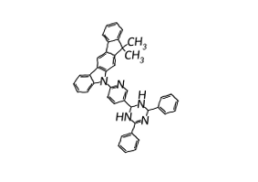 CC1(C)c2ccccc2-c2cc3c4ccccc4n(-c4ccc(C5NC(c6ccccc6)=NC(c6ccccc6)N5)cn4)c3cc21